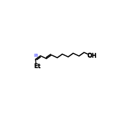 CC/C=C\C=CCCCCCCO